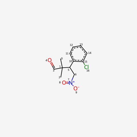 CC(C)(C=O)C(C[N+](=O)[O-])c1ccccc1Cl